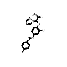 CC(C)(C)C(=O)C(Oc1ccc(N=Nc2ccc(F)cc2)cc1Cl)n1cncn1